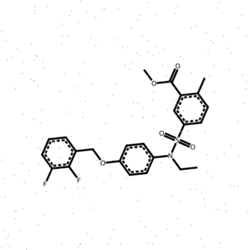 CCN(c1ccc(OCc2cccc(F)c2F)cc1)S(=O)(=O)c1ccc(C)c(C(=O)OC)c1